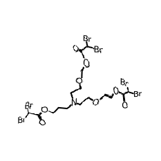 O=C(OCCCN(CCOCCOC(=O)C(Br)Br)CCOCCOC(=O)C(Br)Br)C(Br)Br